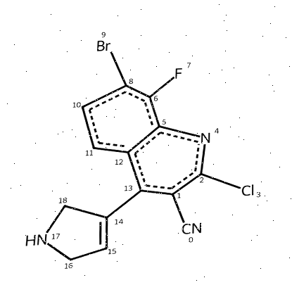 N#Cc1c(Cl)nc2c(F)c(Br)ccc2c1C1=CCNC1